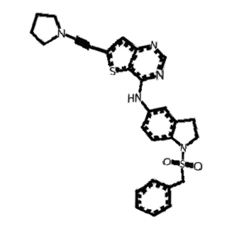 O=S(=O)(Cc1ccccc1)N1CCc2cc(Nc3ncnc4cc(C#CN5CCCC5)sc34)ccc21